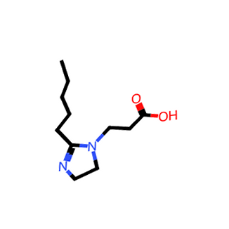 CCCCCC1=NCCN1CCC(=O)O